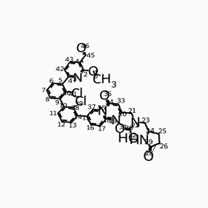 COc1nc(-c2cccc(-c3cccc(-c4ccc5nc(CN(CC6CCC(=O)N6)C(=O)O)cc(=O)n5c4)c3Cl)c2Cl)ccc1C=O